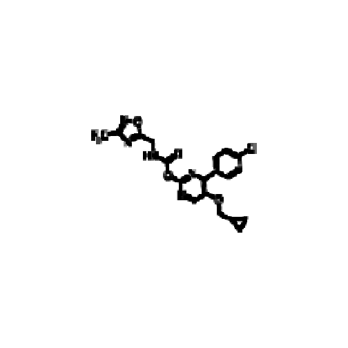 O=C(NCc1nc(C(F)(F)F)no1)Oc1ncc(OCC2CC2)c(-c2ccc(Cl)cc2)n1